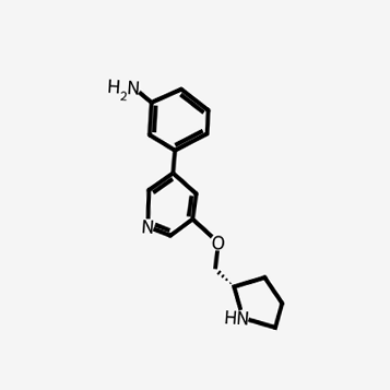 Nc1cccc(-c2cncc(OC[C@@H]3CCCN3)c2)c1